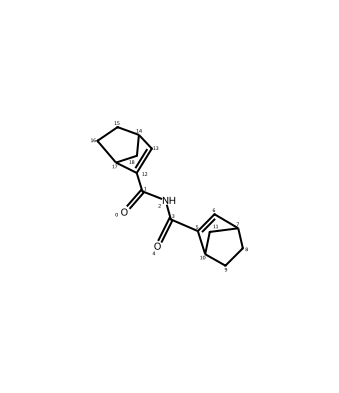 O=C(NC(=O)C1=CC2CCC1C2)C1=CC2CCC1C2